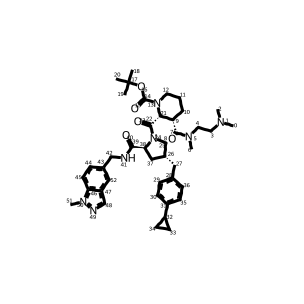 CN(C)CCN(C)C(=O)[C@H]1CCCN(C(=O)OC(C)(C)C)[C@H]1C(=O)N1C[C@H](Cc2ccc(C3CC3)cc2)C[C@H]1C(=O)NCc1ccc2c(cnn2C)c1